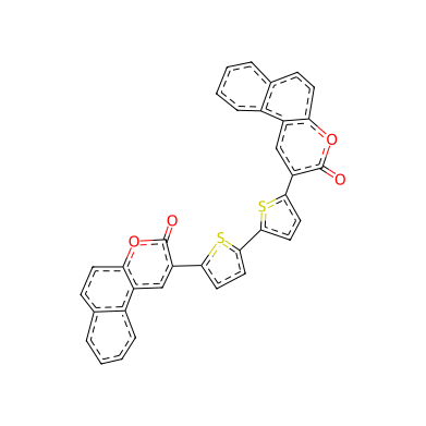 O=c1oc2ccc3ccccc3c2cc1-c1ccc(-c2ccc(-c3cc4c(ccc5ccccc54)oc3=O)s2)s1